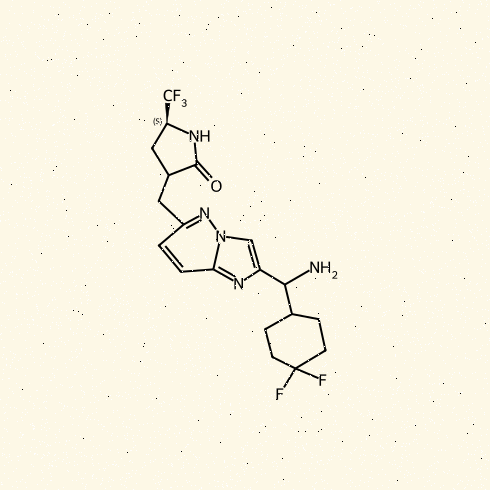 NC(c1cn2nc(CC3C[C@@H](C(F)(F)F)NC3=O)ccc2n1)C1CCC(F)(F)CC1